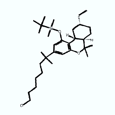 CC[C@@H]1CC[C@@H]2[C@@H](C1)c1c(cc(C(C)(C)CCCCCCCl)cc1O[Si](C)(C)C(C)(C)C)OC2(C)C